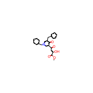 COC(=O)C(O)=CC(=O)c1cn(Cc2ccccc2)cc(Cc2ccccc2)c1=O